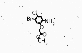 COC(=O)COc1cc(Br)c(Cl)cc1N